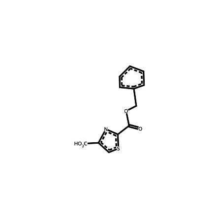 O=C(O)c1csc(C(=O)OCc2ccccc2)n1